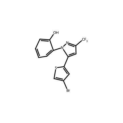 Oc1ccccc1-n1nc(C(F)(F)F)cc1-c1cc(Br)cs1